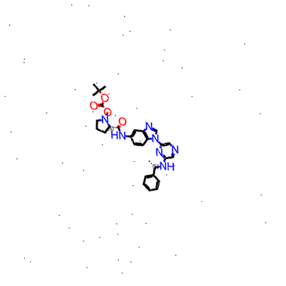 C[C@H](Nc1cncc(-n2cnc3cc(NC(=O)[C@@H]4CCCN4OC(=O)OC(C)(C)C)ccc32)n1)c1ccccc1